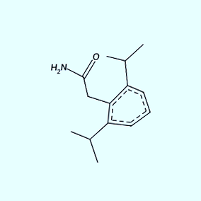 CC(C)c1cccc(C(C)C)c1CC(N)=O